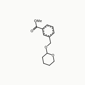 COC(=O)c1cccc(COC2CCCCO2)c1